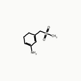 CS(=O)(=O)CC1=CC(N)=CCC1